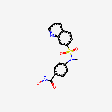 CN(c1ccc(C(=O)NO)cc1)S(=O)(=O)c1ccc2cccnc2c1